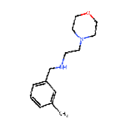 Cc1cccc(CNCCN2CCOCC2)c1